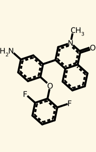 Cn1cc(-c2cc(N)ccc2Oc2c(F)cccc2F)c2ccccc2c1=O